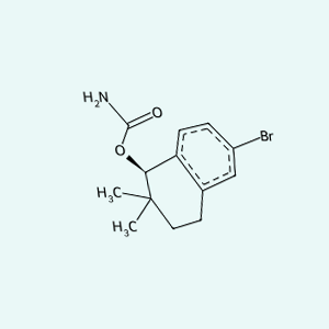 CC1(C)CCc2cc(Br)ccc2[C@@H]1OC(N)=O